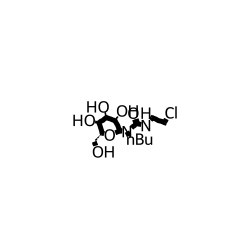 CCCCN(C(=O)NCCCl)C1O[C@H](CO)[C@@H](O)[C@H](O)[C@@H]1O